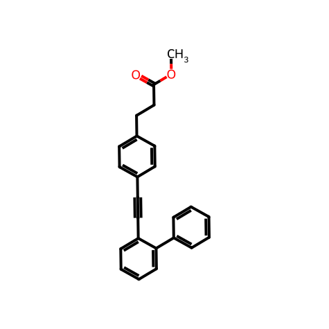 COC(=O)CCc1ccc(C#Cc2ccccc2-c2ccccc2)cc1